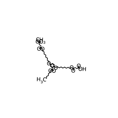 CCCCCCOC(=O)c1cc(OCCCCCCCCOC(=O)CCC(=O)OC)ccc1OCCCCCCCCOC(=O)CCC(=O)O